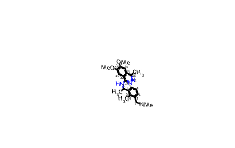 CNCc1cccc(C(C)Nc2nnc(C)c3cc(OC)c(OC)cc23)c1C